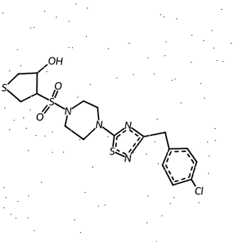 O=S(=O)(C1CSCC1O)N1CCN(c2nc(Cc3ccc(Cl)cc3)ns2)CC1